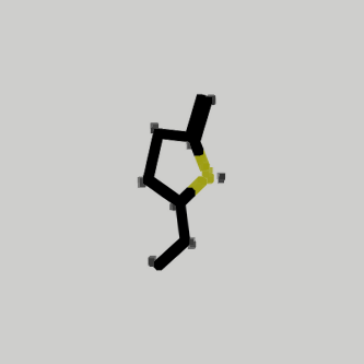 C=C1CCC(CC)S1